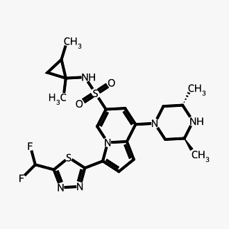 CC1CC1(C)NS(=O)(=O)c1cc(N2C[C@H](C)N[C@@H](C)C2)c2ccc(-c3nnc(C(F)F)s3)n2c1